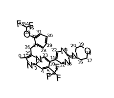 Cc1nc2cc(C(F)(F)F)c(-c3cnc(N4CCOCC4)nc3)cn2c1Cc1ccccc1OC(F)F